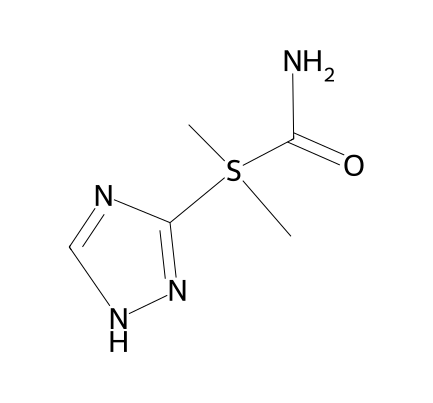 CS(C)(C(N)=O)c1nc[nH]n1